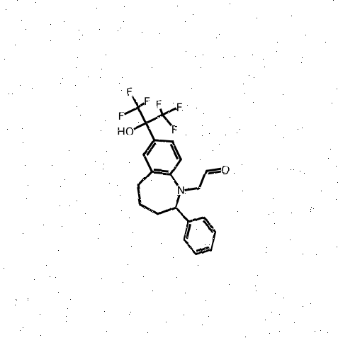 O=CCN1c2ccc(C(O)(C(F)(F)F)C(F)(F)F)cc2CCCC1c1ccccc1